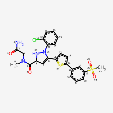 CN(CC(N)=O)C(=O)C1C=C(c2ccc(-c3cccc(S(C)(=O)=O)c3)s2)N(c2ccccc2Cl)N1